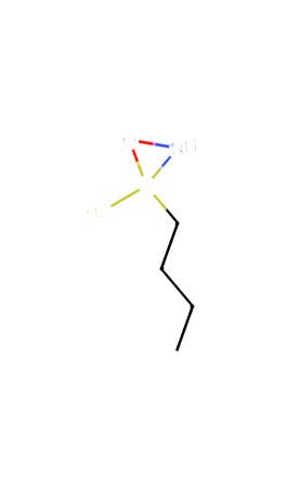 CCCCS1(S)NO1